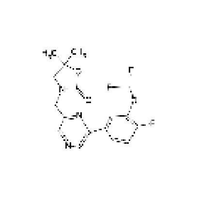 CC1(C)CN(Cc2cncc(-c3ccc(F)c(OC(F)F)c3)n2)C(=O)O1